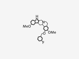 COc1ccc2[nH]c3c(c2c1)CC1c2cc(OCc4cccc(F)c4)c(OC)cc2CCN1C3